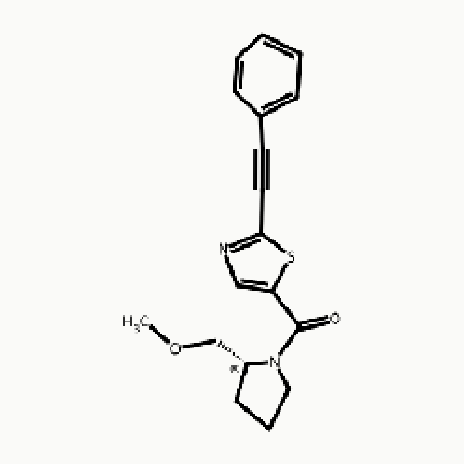 COC[C@H]1CCCN1C(=O)c1cnc(C#Cc2ccccc2)s1